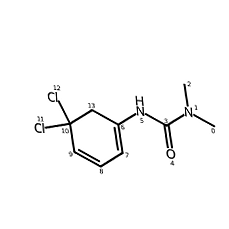 CN(C)C(=O)NC1=CC=CC(Cl)(Cl)C1